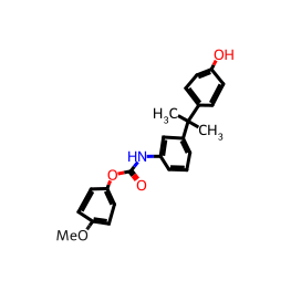 COc1ccc(OC(=O)Nc2cccc(C(C)(C)c3ccc(O)cc3)c2)cc1